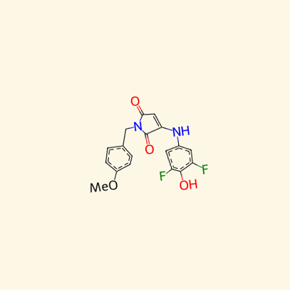 COc1ccc(CN2C(=O)C=C(Nc3cc(F)c(O)c(F)c3)C2=O)cc1